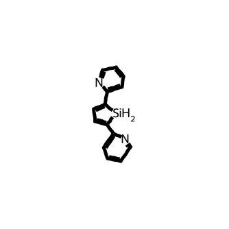 C1=C(c2ccccn2)[SiH2]C(c2ccccn2)=C1